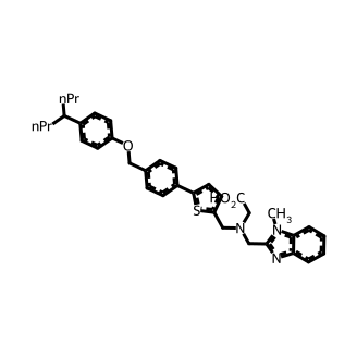 CCCC(CCC)c1ccc(OCc2ccc(-c3ccc(CN(CC(=O)O)Cc4nc5ccccc5n4C)s3)cc2)cc1